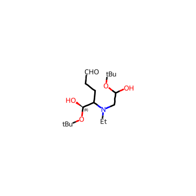 CCN(CC(O)OC(C)(C)C)C(CCC=O)[C@H](O)OC(C)(C)C